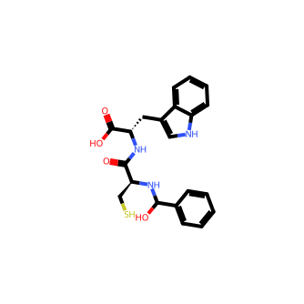 O=C(O)[C@H](Cc1c[nH]c2ccccc12)NC(=O)[C@H](CS)NC(O)c1ccccc1